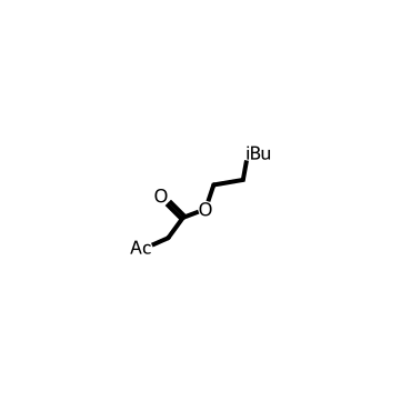 CCC(C)CCOC(=O)CC(C)=O